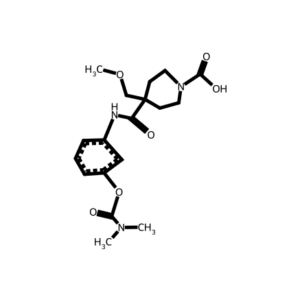 COCC1(C(=O)Nc2cccc(OC(=O)N(C)C)c2)CCN(C(=O)O)CC1